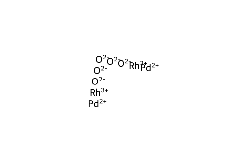 [O-2].[O-2].[O-2].[O-2].[O-2].[Pd+2].[Pd+2].[Rh+3].[Rh+3]